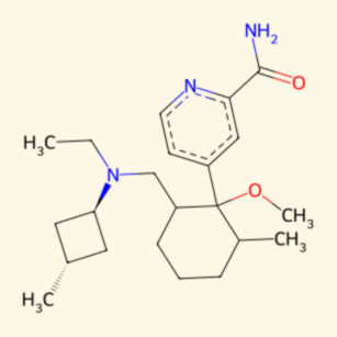 CCN(CC1CCCC(C)C1(OC)c1ccnc(C(N)=O)c1)[C@H]1C[C@H](C)C1